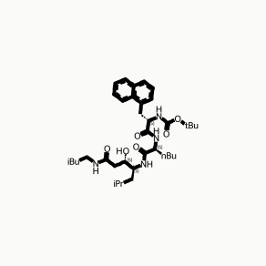 CCCC[C@H](NC(=O)[C@H](Cc1cccc2ccccc12)NC(=O)OC(C)(C)C)C(=O)N[C@@H](CC(C)C)[C@@H](O)CC(=O)NCC(C)CC